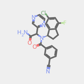 N#Cc1cccc(C(=O)N(C(C(N)=O)c2cnccn2)[C@@H]2CCc3c(F)cc(Cl)cc32)c1